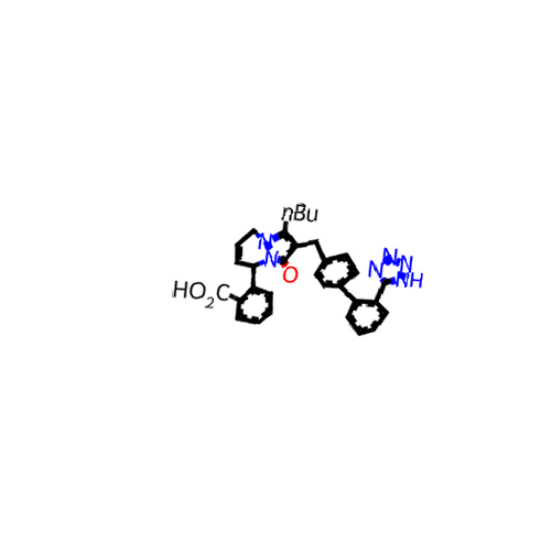 CCCCc1c(Cc2ccc(-c3ccccc3-c3nnn[nH]3)cc2)c(=O)n2n1CC=CC2c1ccccc1C(=O)O